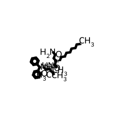 CCCCCCCCCC[C@H](CC(N)=O)C(=O)N[C@H](C(=O)NC(c1ccccc1)c1ccccc1)C(C)(C)C